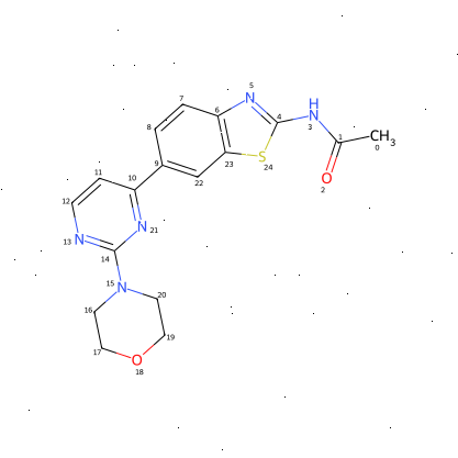 CC(=O)Nc1nc2ccc(-c3ccnc(N4CCOCC4)n3)cc2s1